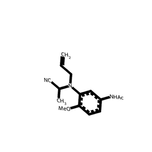 C=CCN(c1cc(NC(C)=O)ccc1OC)C(C)C#N